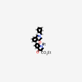 CCOC(=O)c1cn(CC)c2c(OCCN(Cc3ccccc3)Cc3ccccc3)cccc2c1=O